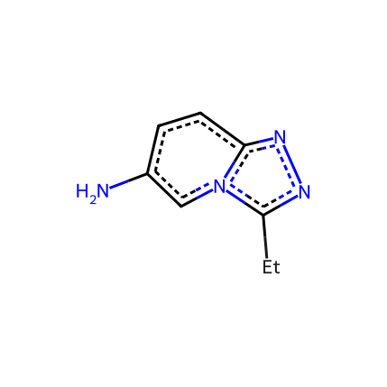 CCc1nnc2ccc(N)cn12